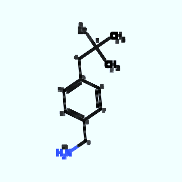 CCC(C)(C)Cc1ccc(CN)cc1